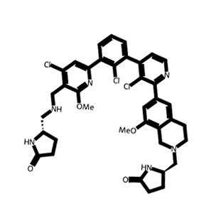 COc1cc(-c2nccc(-c3cccc(-c4cc(Cl)c(CNC[C@@H]5CCC(=O)N5)c(OC)n4)c3Cl)c2Cl)cc2c1CN(C[C@H]1CCC(=O)N1)CC2